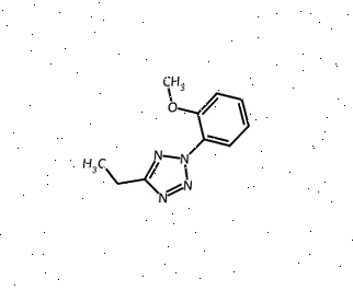 CCc1nnn(-c2ccccc2OC)n1